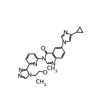 COC[C@H](C)n1cnnc1-c1cccc(-n2cnc3ccc(-n4cnc(C5CC5)c4)cc3c2=O)n1